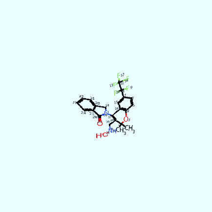 CC1(C)Oc2ccc(C(F)(F)C(F)(F)F)cc2C(N2Cc3ccccc3C2=O)=C1CNO